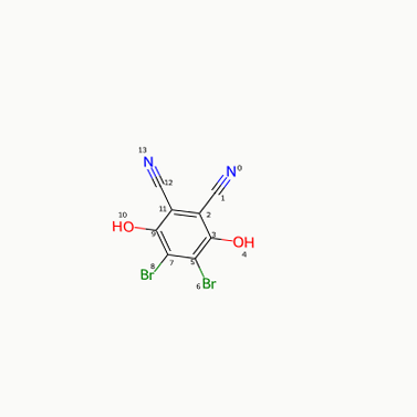 N#Cc1c(O)c(Br)c(Br)c(O)c1C#N